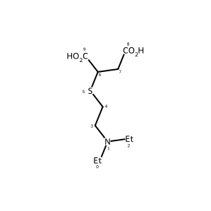 CCN(CC)CCSC(CC(=O)O)C(=O)O